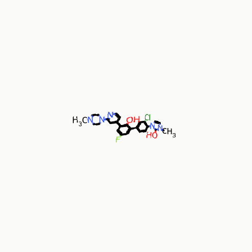 CN1CCN(c2cc(-c3cc(F)cc(-c4ccc(N5C=CN(C)C5O)c(Cl)c4)c3O)ccn2)CC1